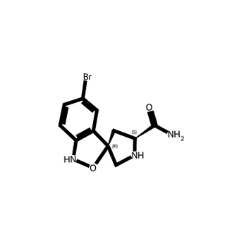 NC(=O)[C@@H]1C[C@@]2(CN1)ONc1ccc(Br)cc12